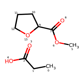 CCC(=O)O.COC(=O)C1CCCO1